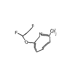 Cc1cccc(OC(F)F)n1